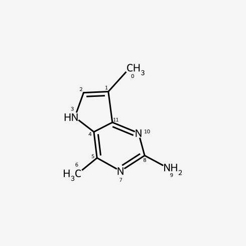 Cc1c[nH]c2c(C)nc(N)nc12